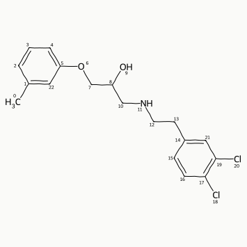 Cc1cccc(OCC(O)CNCCc2ccc(Cl)c(Cl)c2)c1